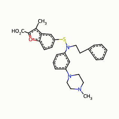 Cc1c(C(=O)O)oc2ccc(SN(CCc3ccccc3)c3cccc(N4CCN(C)CC4)c3)cc12